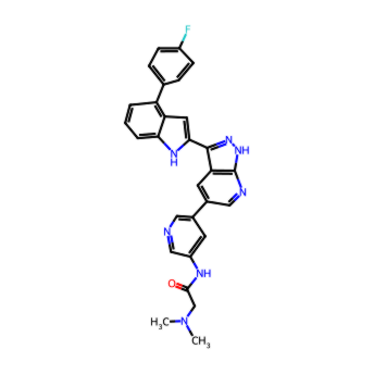 CN(C)CC(=O)Nc1cncc(-c2cnc3[nH]nc(-c4cc5c(-c6ccc(F)cc6)cccc5[nH]4)c3c2)c1